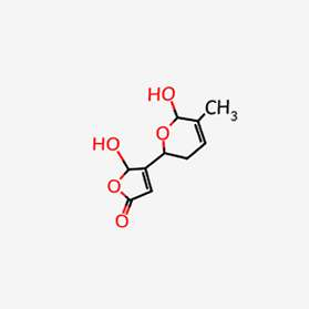 CC1=CCC(C2=CC(=O)OC2O)OC1O